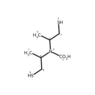 CC(CS)N(C(=O)O)C(C)CS